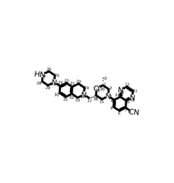 C[C@@H]1CN(c2ccc(C#N)c3nccnc23)C[C@H](CN2CCc3cc(N4CCNCC4)ccc3C2)O1